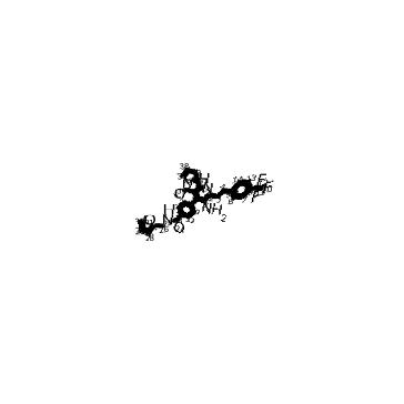 Nc1c(CCc2ccc(C(F)(F)F)cc2)nc2c(c1-c1ccc(C(=O)NCc3ccco3)cc1)C(=O)N1CCC[C@@H]21